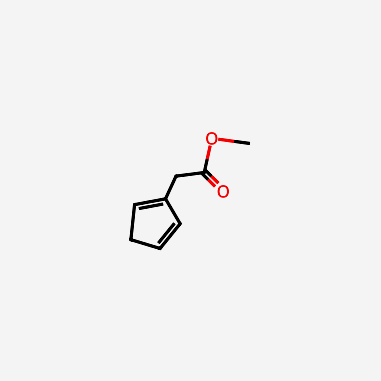 COC(=O)CC1=CCC=C1